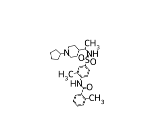 Cc1cc(S(=O)(=O)NC(C)C2CCN(C3CCCC3)CC2)ccc1NC(=O)c1ccccc1C